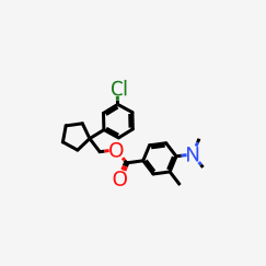 Cc1cc(C(=O)OCC2(c3cccc(Cl)c3)CCCC2)ccc1N(C)C